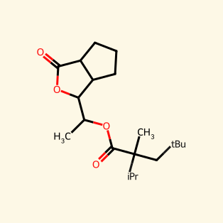 CC(OC(=O)C(C)(CC(C)(C)C)C(C)C)C1OC(=O)C2CCCC21